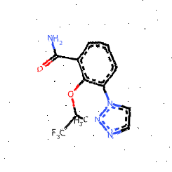 CC(Oc1c(C(N)=O)cccc1-n1ccnn1)C(F)(F)F